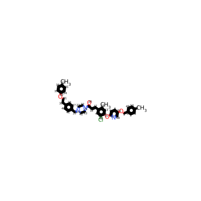 Cc1ccc(COc2ccc(Oc3cc(C)c(C=CC(=O)N4CCN(Cc5ccc(CCOc6ccc(C)cc6)cc5)CC4)cc3Cl)nc2)cc1